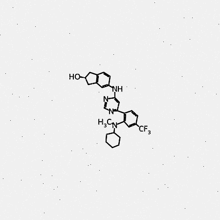 CN(c1cc(C(F)(F)F)ccc1-c1cc(Nc2ccc3c(c2)C[C@@H](O)C3)ncn1)C1CCCCC1